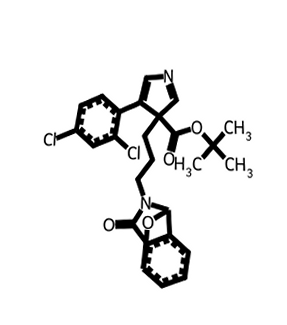 CC(C)(C)OC(=O)C1(CCCN2C(=O)c3c4cccc3C2O4)C=NC=C1c1ccc(Cl)cc1Cl